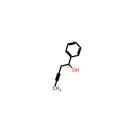 CC#CCC(O)c1ccccc1